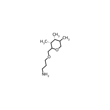 CC1COC(COCCCN)[C@H](C)[C@@H]1C